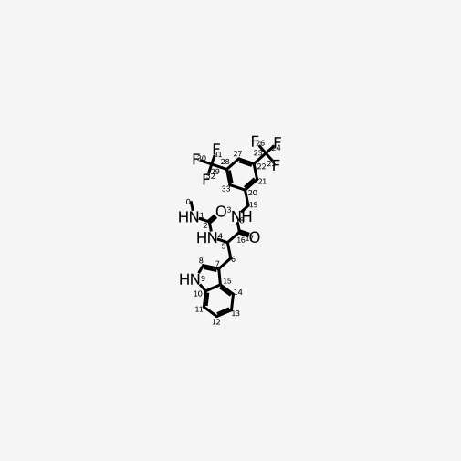 CNC(=O)NC(Cc1c[nH]c2ccccc12)C(=O)NCc1cc(C(F)(F)F)cc(C(F)(F)F)c1